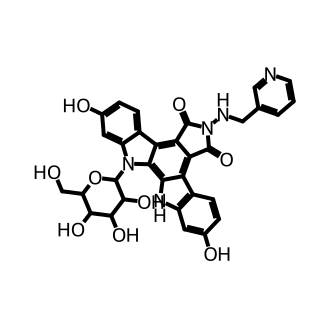 O=C1c2c(c3c4ccc(O)cc4n(C4OC(CO)C(O)C(O)C4O)c3c3[nH]c4cc(O)ccc4c23)C(=O)N1NCc1cccnc1